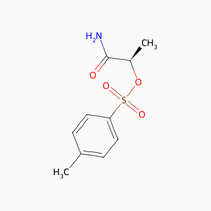 Cc1ccc(S(=O)(=O)O[C@H](C)C(N)=O)cc1